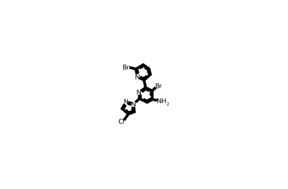 Nc1cc(-n2cc(Cl)cn2)nc(-c2cccc(Br)n2)c1Br